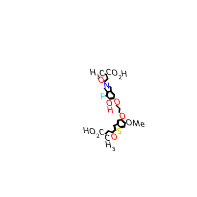 COc1cc2sc(C(=O)C[C@H](C)C(=O)O)cc2cc1OCCCOc1cc2c(c(F)c1O)CN(C(=O)C[C@H](C)C(=O)O)C2